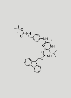 CC(C)[C@H](NC(=O)OCC1c2ccccc2-c2ccccc21)C(=O)N[C@@H](C)C(=O)Nc1ccc(CNC(=O)OC(C)(C)C)cc1